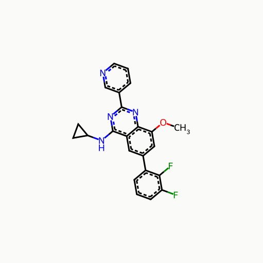 COc1cc(-c2cccc(F)c2F)cc2c(NC3CC3)nc(-c3cccnc3)nc12